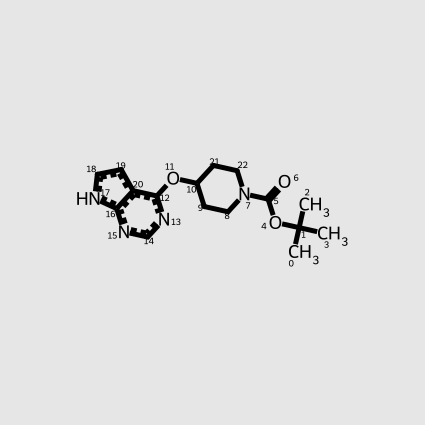 CC(C)(C)OC(=O)N1CCC(Oc2ncnc3[nH]ccc23)CC1